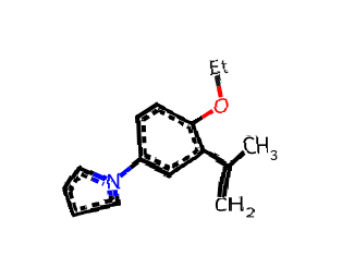 C=C(C)c1cc(-n2cccc2)ccc1OCC